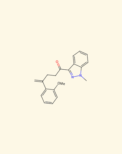 C=C(CCC(=O)c1nn(C)c2ccccc12)c1ccccc1OC